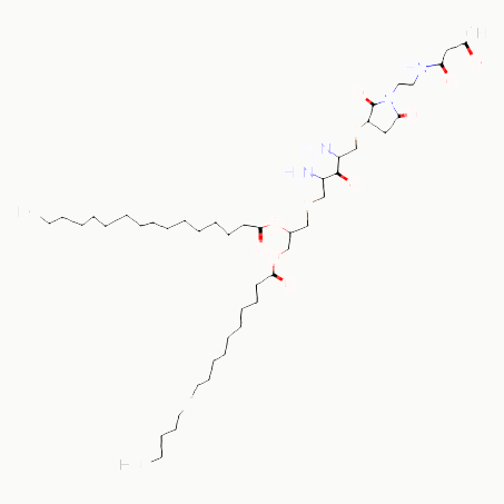 CCCCCCCCCCCCCCCC(=O)OCC(CSCC(N)C(=O)C(N)CSC1CC(=O)N(CCNC(=O)CC(C)=O)C1=O)OC(=O)CCCCCCCCCCCCCCC